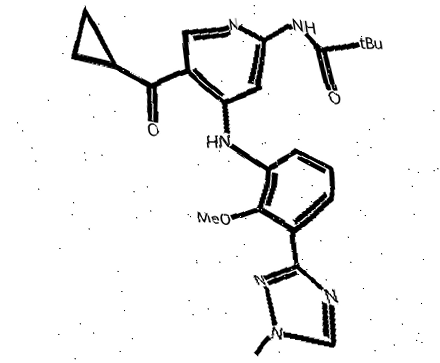 COc1c(Nc2cc(NC(=O)C(C)(C)C)ncc2C(=O)C2CC2)cccc1-c1ncn(C)n1